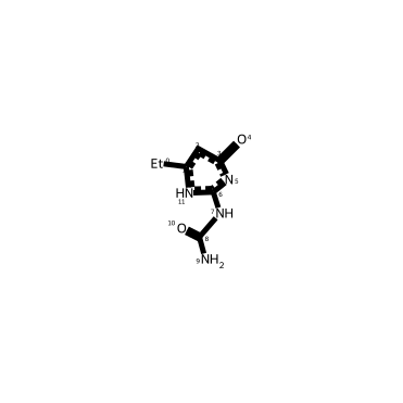 CCc1cc(=O)nc(NC(N)=O)[nH]1